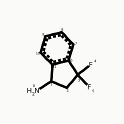 NC1CC(F)(F)c2ccccc21